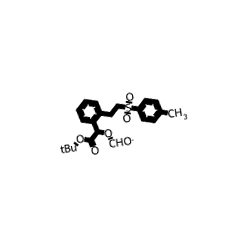 Cc1ccc(S(=O)(=O)CCc2ccccc2C(O[C]=O)C(=O)OC(C)(C)C)cc1